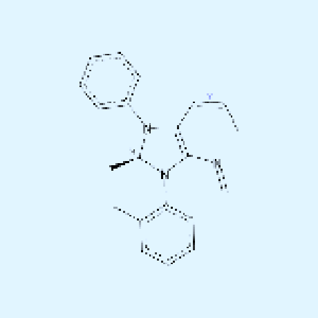 C=NC1=C(/C=C\C)N(c2ccccc2)[C@H](C)N1c1ccccc1C